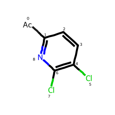 CC(=O)c1ccc(Cl)c(Cl)n1